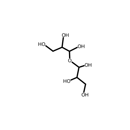 OCC(O)C(O)OC(O)C(O)CO